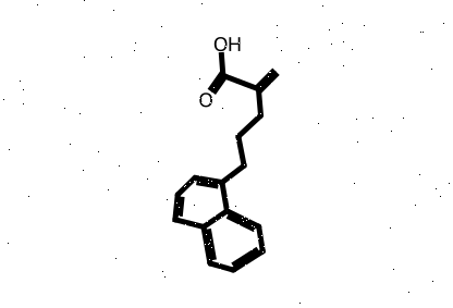 C=C(CCCc1cccc2ccccc12)C(=O)O